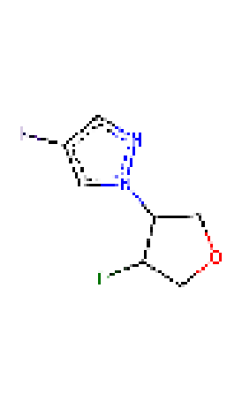 FC1COCC1n1cc(I)cn1